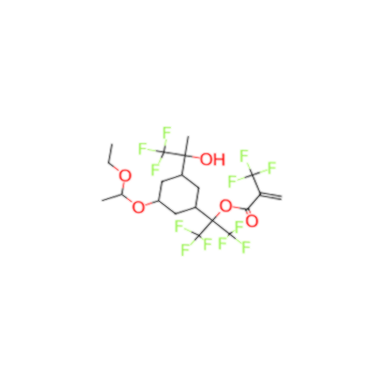 C=C(C(=O)OC(C1CC(OC(C)OCC)CC(C(C)(O)C(F)(F)F)C1)(C(F)(F)F)C(F)(F)F)C(F)(F)F